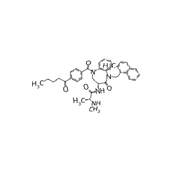 CCCCC(=O)c1ccc(C(=O)N2C[C@H](NC(=O)[C@H](C)NC)C(=O)N(Cc3c(C)ccc4ccccc34)c3ccccc32)cc1